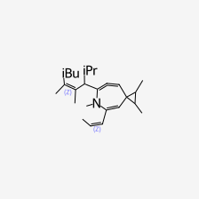 C/C=C\C1=CC2(C=C=C(C(/C(C)=C(/C)C(C)CC)C(C)C)N1C)C(C)C2C